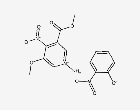 COC(=O)c1c[n+](N)cc(OC)c1[N+](=O)[O-].O=[N+]([O-])c1ccccc1[O-]